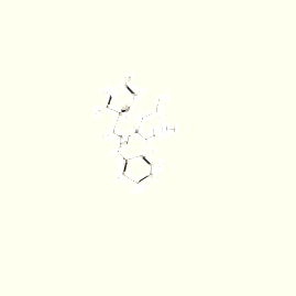 CCCC(CO)N(Cc1ccccc1)Cc1ccccc1